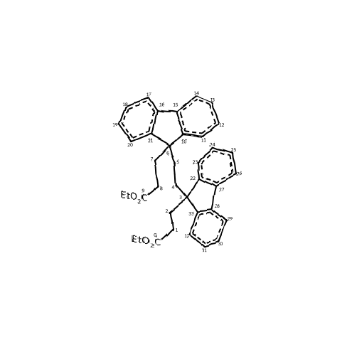 CCOC(=O)CCC1(CCC2(CCC(=O)OCC)c3ccccc3-c3ccccc32)c2ccccc2-c2ccccc21